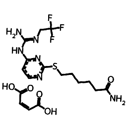 NC(=O)CCCCCSc1nccc(NC(N)=NCC(F)(F)F)n1.O=C(O)/C=C\C(=O)O